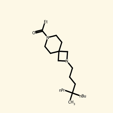 CCCCC(C)(CCC)CCCN1CC2(CCN(C(=O)CC)CC2)C1